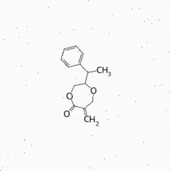 C=C1COC(C(C)c2ccccc2)COC1=O